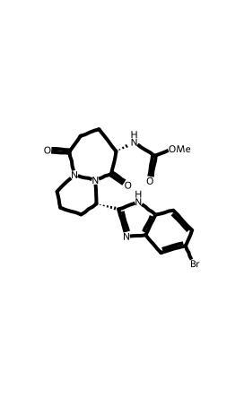 COC(=O)N[C@H]1CCC(=O)N2CCC[C@@H](c3nc4cc(Br)ccc4[nH]3)N2C1=O